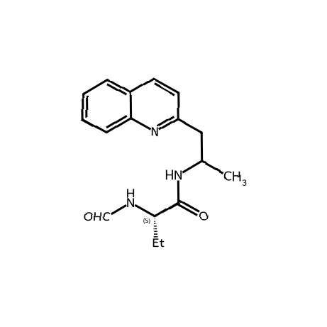 CC[C@H](NC=O)C(=O)NC(C)Cc1ccc2ccccc2n1